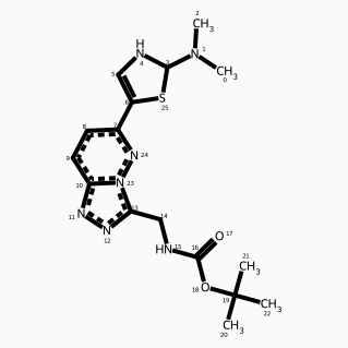 CN(C)C1NC=C(c2ccc3nnc(CNC(=O)OC(C)(C)C)n3n2)S1